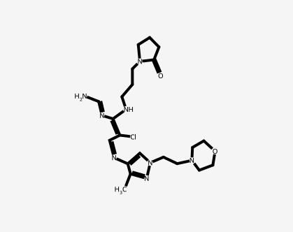 Cc1nn(CCN2CCOCC2)cc1\N=C/C(Cl)=C(\N=C\N)NCCCN1CCCC1=O